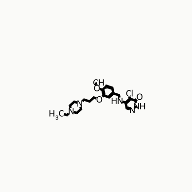 CCN1CCN(CCCOc2cc(CNc3cn[nH]c(=O)c3Cl)ccc2OC)CC1